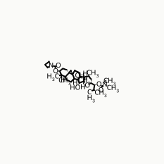 CC(C)[C@@H](OC(=O)N(C)C)[C@H]1C[C@@H](C)[C@H]2[C@H](O1)[C@H](O)[C@@]1(C)[C@@H]3CC[C@H]4C(C)(C)[C@@H](OC(=O)N5CCC5)CC[C@@]45C[C@@]35CC[C@]21C